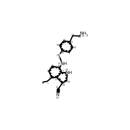 CCc1ccc(NSc2ccc(CCN)cc2)c2[nH]cc(C#N)c12